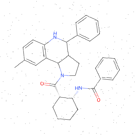 Cc1ccc2c(c1)C1C(CCN1C(=O)[C@H]1CCCC[C@H]1NC(=O)c1ccccc1)C(c1ccccc1)N2